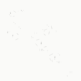 CCOc1nc2[nH]cc(F)c2cc1Oc1cc(N2CCC3(CC2)CC(N2CCN(Cc4cc(OC)c(C5CC5)cn4)C[C@H]2c2ccccc2C(C)C)C3)ccc1C(=O)NS(=O)(=O)c1cnc(NCC2CCC(C)(O)CC2)c([N+](=O)[O-])c1